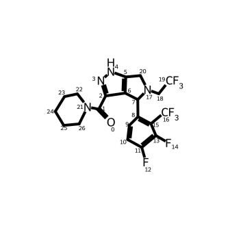 O=C(c1n[nH]c2c1C(c1ccc(F)c(F)c1C(F)(F)F)N(CC(F)(F)F)C2)N1CCCCC1